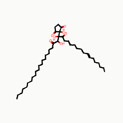 CCCCCC/C=C/CCCCCCCC(=O)C(O)(C(O)C(=O)CCCCCCCCCCCCCCCCCCC)C1(O)C(=O)CCC1=O